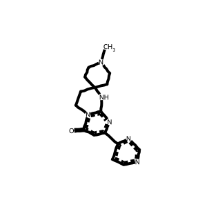 CN1CCC2(CC1)CCn1c(nc(-c3ccncn3)cc1=O)N2